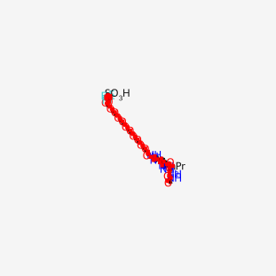 CCCN(OCCNC(=O)NC1COC1)C(=O)C1=Cc2ccc(-c3cnc(CNC(=O)CCOCCOCCOCCOCCOCCOCCOCCOCCOCCOCCC(=O)Oc4c(F)c(F)c(S(=O)(=O)O)c(F)c4F)nc3)cc2N=C(N)C1